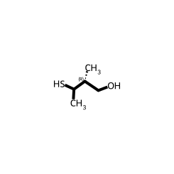 CC(S)[C@H](C)CO